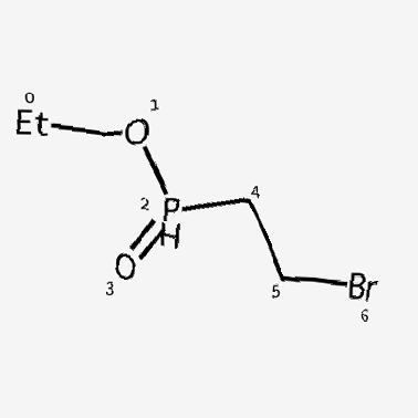 CCO[PH](=O)CCBr